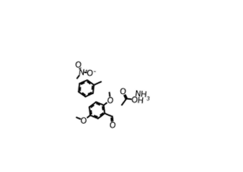 CC(=O)O.COc1ccc(OC)c(C=O)c1.C[N+](=O)[O-].Cc1ccccc1.N